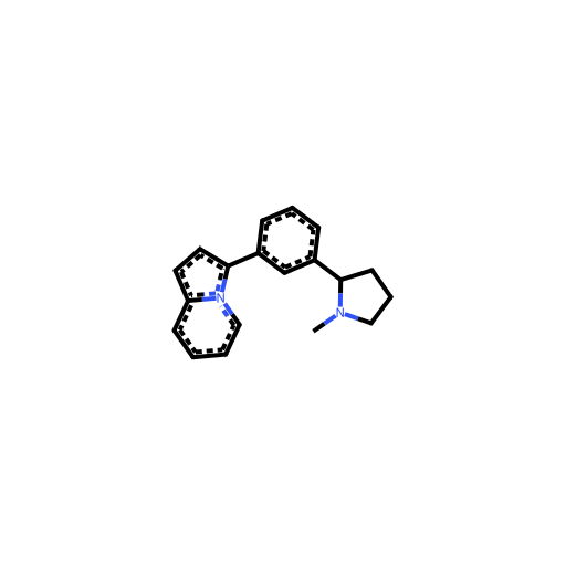 CN1CCCC1c1cccc(-c2[c]cc3ccccn23)c1